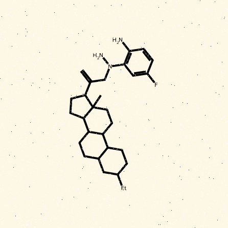 C=C(CN(N)c1cc(F)ccc1N)C1CCC2C3CCC4CC(CC)CCC4C3CCC12C